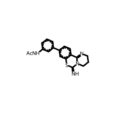 CC(=O)Nc1cccc(-c2ccc3c(c2)SC(=N)N2CCCN=C32)c1